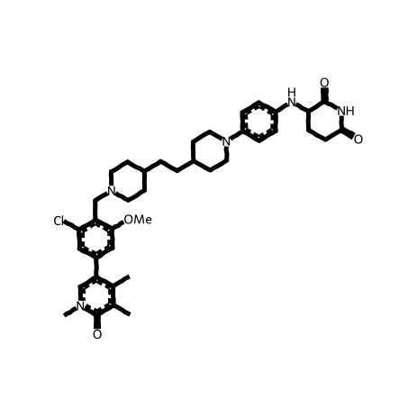 COc1cc(-c2cn(C)c(=O)c(C)c2C)cc(Cl)c1CN1CCC(CCC2CCN(c3ccc(NC4CCC(=O)NC4=O)cc3)CC2)CC1